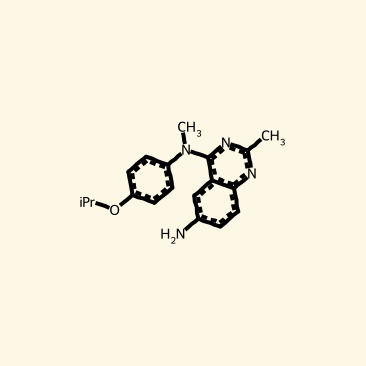 Cc1nc(N(C)c2ccc(OC(C)C)cc2)c2cc(N)ccc2n1